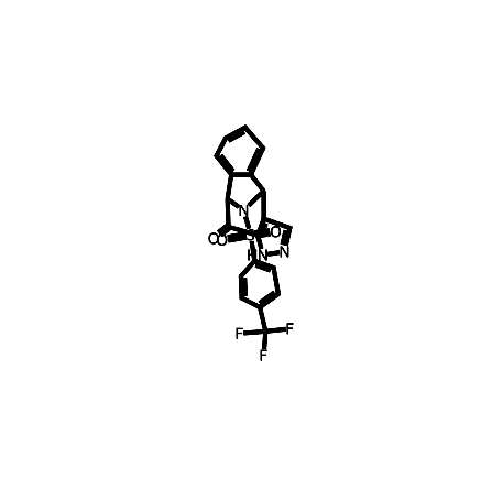 O=C1c2[nH]ncc2C2c3ccccc3C1N2S(=O)(=O)c1ccc(C(F)(F)F)cc1